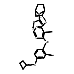 Cc1c(Nc2ccc(SC3CCC3)cc2F)ncnc1O[C@H]1CC2CCC1N2C(=O)OC(C)C